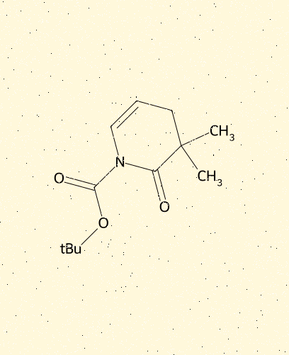 CC(C)(C)OC(=O)N1C=CCC(C)(C)C1=O